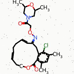 Cc1cc(C)c2c(c1Cl)CC(=N/OCC(=O)N1CC(C)OC(C)C1)/C=C/CC/C=C/CCOC2=O